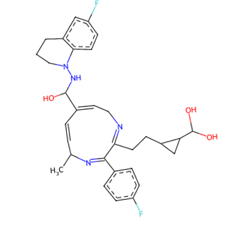 CC1/C=C\C(C(O)NN2CCCc3cc(F)ccc32)=C/C/N=C(CCC2CC2C(O)O)\C(c2ccc(F)cc2)=N/1